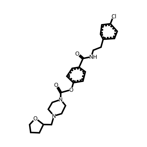 O=C(NCCc1ccc(Cl)cc1)c1ccc(OC(=O)N2CCN(CC3CCCO3)CC2)cc1